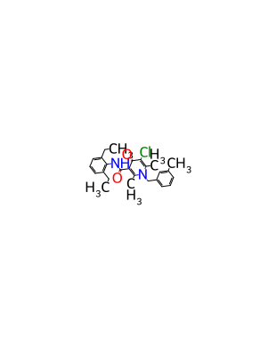 CCc1cccc(CC)c1NC(=O)c1c(C)n(Cc2cccc(C)c2)c(C)c(Cl)c1=O